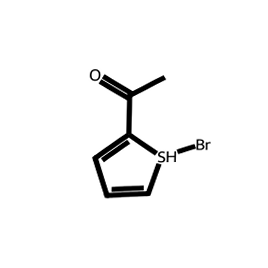 CC(=O)C1=CC=C[SH]1Br